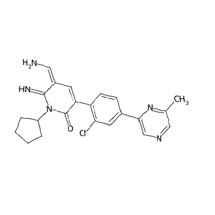 Cc1cncc(-c2ccc(C3=C/C(=C/N)C(=N)N(C4CCCC4)C3=O)c(Cl)c2)n1